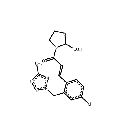 Cc1nnn(Cc2cc(Cl)ccc2C=CC(=O)N2CCSC2C(=O)O)n1